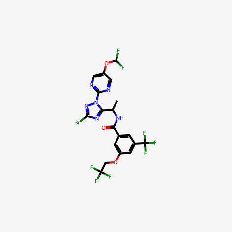 CC(NC(=O)c1cc(OCC(F)(F)F)cc(C(F)(F)F)c1)c1nc(Br)nn1-c1ncc(OC(F)F)cn1